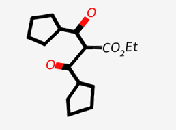 CCOC(=O)C(C(=O)C1CCCC1)C(=O)C1CCCC1